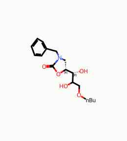 CCCCOCC(O)[C@@H](O)[C@H]1CN(Cc2ccccc2)C(=O)O1